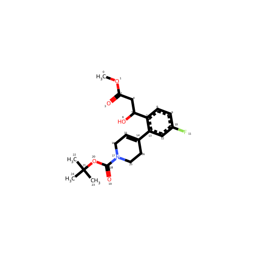 COC(=O)CC(O)c1ccc(F)cc1C1=CCN(C(=O)OC(C)(C)C)CC1